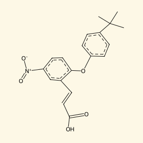 CC(C)(C)c1ccc(Oc2ccc([N+](=O)[O-])cc2C=CC(=O)O)cc1